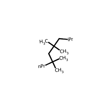 CCCC(C)(C)CC(C)(C)CC(C)C